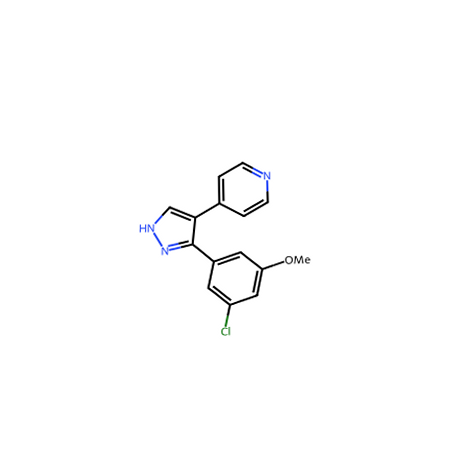 COc1cc(Cl)cc(-c2n[nH]cc2-c2ccncc2)c1